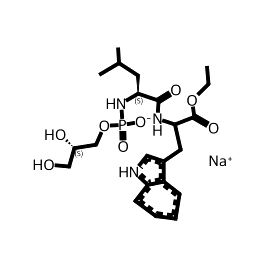 CCOC(=O)C(Cc1c[nH]c2ccccc12)NC(=O)[C@H](CC(C)C)NP(=O)([O-])OC[C@@H](O)CO.[Na+]